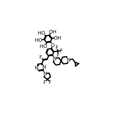 Oc1c(O)c(O)c(Oc2ccc(/C=C(\F)c3cncc(N4CCC(F)(F)C4)n3)c(N3CCCC4(CCN(CC5CC5)CC4)C3)c2C(F)(F)F)c(O)c1O